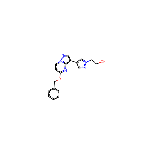 OCCn1cc(-c2cnn3ccc(OCc4ccccc4)nc23)cn1